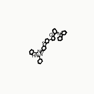 c1ccc(C2=NC(c3ccc4c(c3)sc3ccc(-c5cccc6c5oc5cccc(-n7c8ccccc8c8ccccc87)c56)cc34)NC(c3ccccc3)N2)cc1